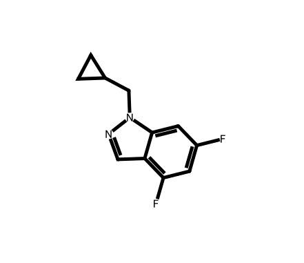 Fc1cc(F)c2cnn(CC3CC3)c2c1